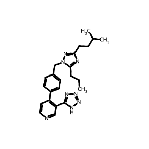 CCCc1nc(CCC(C)C)nn1Cc1ccc(-c2ccncc2-c2nnn[nH]2)cc1